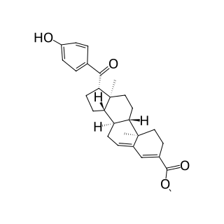 COC(=O)C1=CC2=CC[C@H]3[C@@H]4CC[C@H](C(=O)c5ccc(O)cc5)[C@@]4(C)CC[C@@H]3[C@@]2(C)CC1